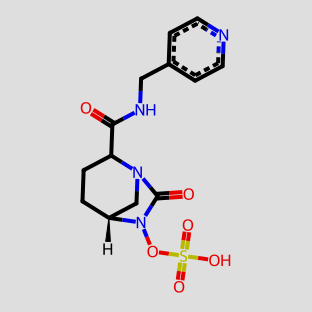 O=C(NCc1ccncc1)C1CC[C@@H]2CN1C(=O)N2OS(=O)(=O)O